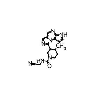 CC1CCN(C(=O)NCC#N)CC1c1ncc2cnc3[nH]ccc3n12